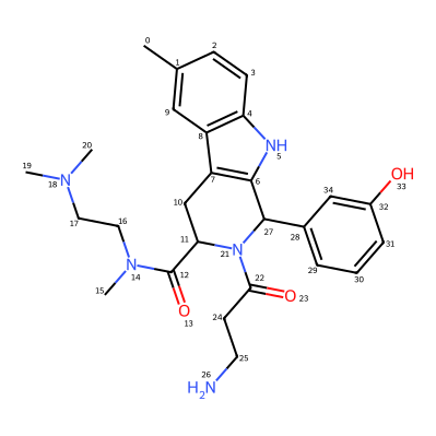 Cc1ccc2[nH]c3c(c2c1)CC(C(=O)N(C)CCN(C)C)N(C(=O)CCN)C3c1cccc(O)c1